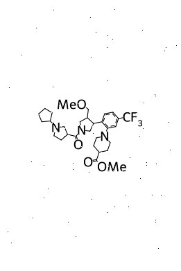 COCC1CN(C(=O)C2CCN(C3CCCC3)C2)CC1c1ccc(C(F)(F)F)cc1N1CCC(C(=O)OC)CC1